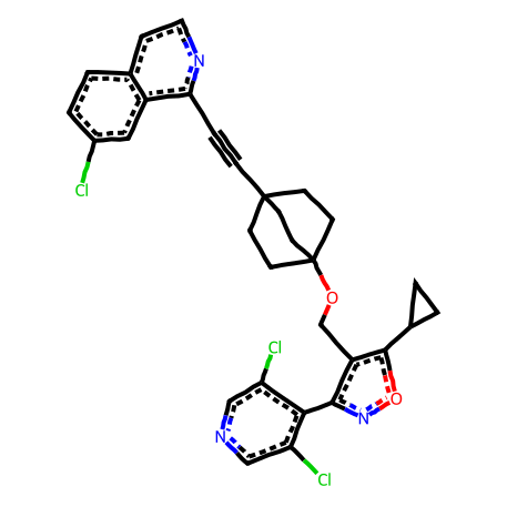 Clc1ccc2ccnc(C#CC34CCC(OCc5c(-c6c(Cl)cncc6Cl)noc5C5CC5)(CC3)CC4)c2c1